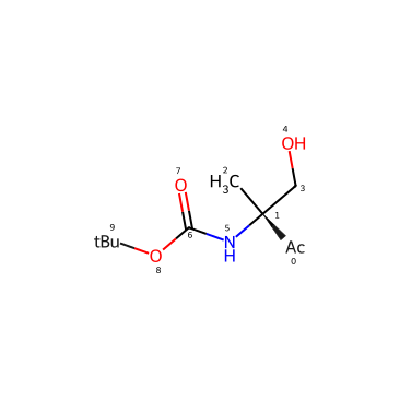 CC(=O)[C@@](C)(CO)NC(=O)OC(C)(C)C